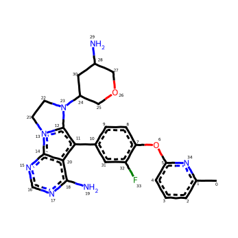 Cc1cccc(Oc2ccc(-c3c4n(c5ncnc(N)c35)CCN4C3COCC(N)C3)cc2F)n1